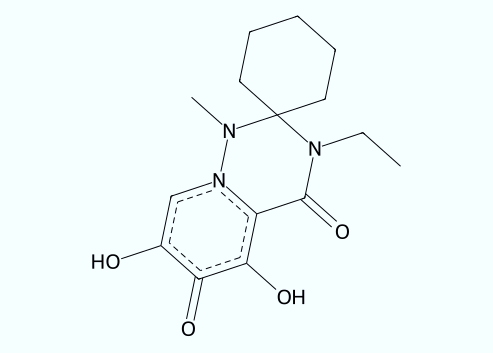 CCN1C(=O)c2c(O)c(=O)c(O)cn2N(C)C12CCCCC2